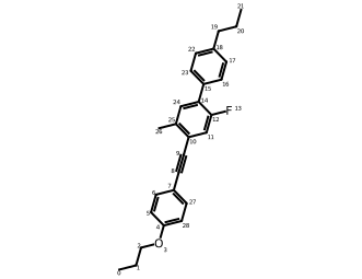 CCCOc1ccc(C#Cc2cc(F)c(-c3ccc(CCC)cc3)cc2C)cc1